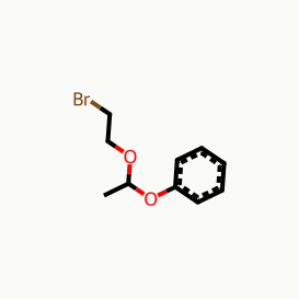 CC(OCCBr)Oc1ccccc1